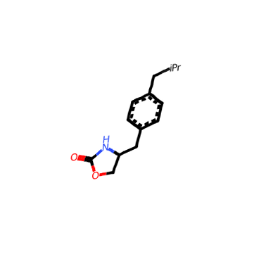 CC(C)Cc1ccc(CC2COC(=O)N2)cc1